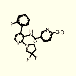 O=Cc1ccc(C(=O)Nc2c(-c3ccccc3F)ccnc2N2CCC(F)(F)C2)cn1